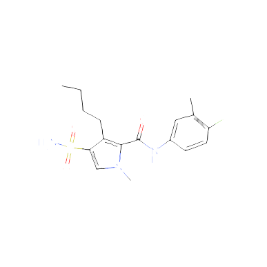 CCCCc1c(S(N)(=O)=O)cn(C)c1C(=O)Nc1ccc(F)c(C)c1